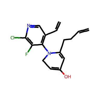 C=CCCC1=CC(O)=CCN1c1c(C=C)cnc(Cl)c1F